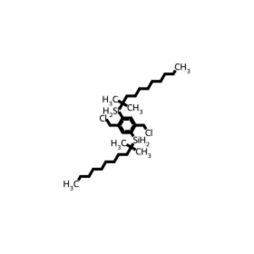 CCCCCCCCCC(C)(C)[SiH2]c1cc(CCl)c([SiH2]C(C)(C)CCCCCCCCC)cc1CCl